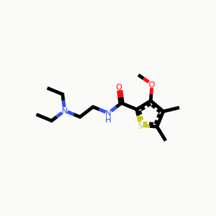 CCN(CC)CCNC(=O)c1sc(C)c(C)c1OC